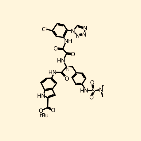 CN(C)S(=O)(=O)Nc1ccc(C[C@H](NC(=O)C(=O)Nc2cc(Cl)ccc2-n2cnnn2)C(=O)Nc2ccc3[nH]c(C(=O)OC(C)(C)C)cc3c2)cc1